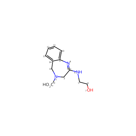 O=C(O)N1CC(NCCO)=Nc2ccccc2C1